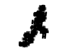 COc1ccc(CN2CCN(C3CC4(CCN(c5cc(Oc6cnc7[nH]ccc7c6)c(C(=O)NS(=O)(=O)c6cc([N+](=O)[O-])c(NCC7CCOCC7)c7c6OCCO7)cc5F)CC4)C3)C(c3ccccc3C(C)C)C2)cc1